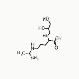 C[C@@H](N)NCCCC(NCC(O)CO)C(=O)O